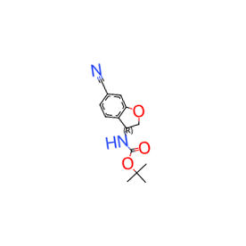 CC(C)(C)OC(=O)N[C@H]1COc2cc(C#N)ccc21